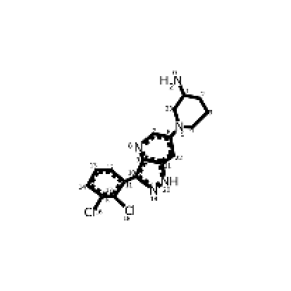 NC1CCCN(c2cnc3c(-c4cccc(Cl)c4Cl)n[nH]c3c2)C1